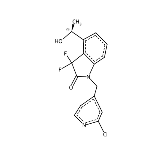 C[C@H](O)c1cccc2c1C(F)(F)C(=O)N2Cc1ccnc(Cl)c1